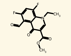 CCn1cc(C(=O)OC)c(=O)c2c(C=O)c(F)cc(F)c21